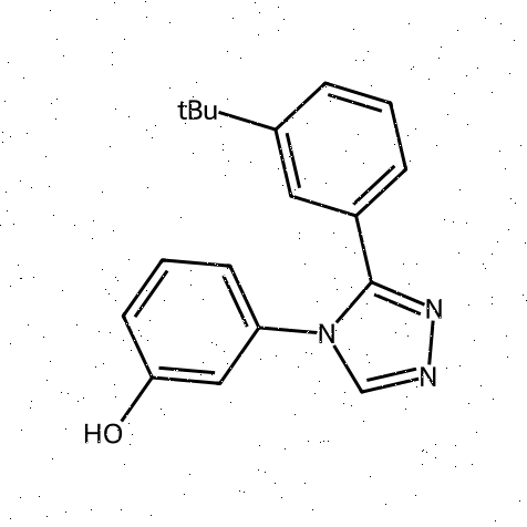 CC(C)(C)c1cccc(-c2nncn2-c2cccc(O)c2)c1